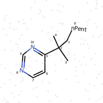 CCCCCCC(C)(C)c1ccncn1